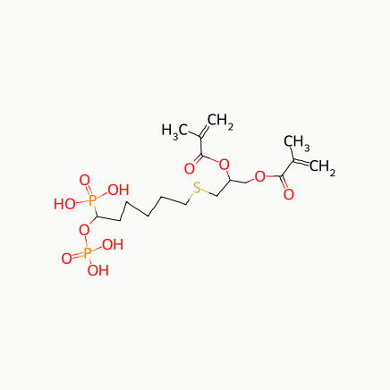 C=C(C)C(=O)OCC(CSCCCCCC(OP(=O)(O)O)P(=O)(O)O)OC(=O)C(=C)C